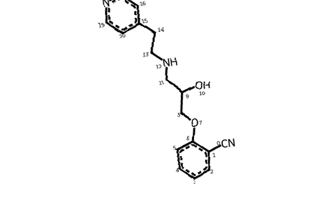 N#Cc1ccccc1OCC(O)CNCCc1ccncc1